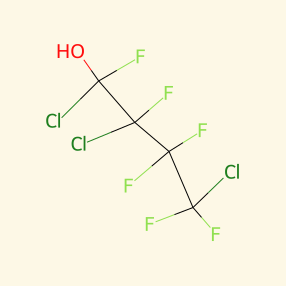 OC(F)(Cl)C(F)(Cl)C(F)(F)C(F)(F)Cl